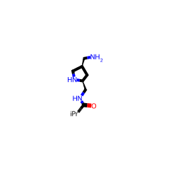 CC(C)C(=O)NC[C@@H]1C[C@H](CN)CN1